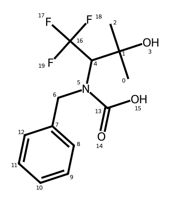 CC(C)(O)C(N(Cc1ccccc1)C(=O)O)C(F)(F)F